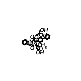 C[C@H](CC(=O)O)NC(=O)[C@H](Cc1ccccc1)NC(Cc1ccc(-c2ccccc2)cc1)C(=O)OCC(O)CO